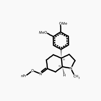 CCCON=C1CC[C@@]2(c3ccc(OC)c(OC)c3)CCN(C)[C@H]2C1